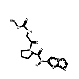 CC(C)(C)OC(=O)NCC(=O)N1CCCC1C(=O)N(Br)c1cn2ccsc2n1